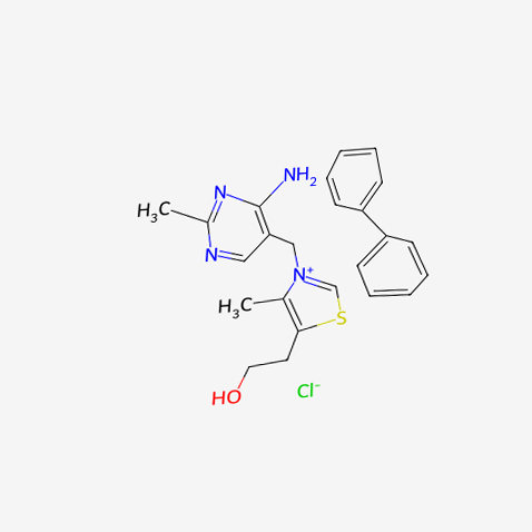 Cc1ncc(C[n+]2csc(CCO)c2C)c(N)n1.[Cl-].c1ccc(-c2ccccc2)cc1